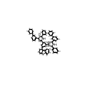 c1ccc(-c2cccc(C3N=C(c4cc(-c5cccc6sc7ccccc7c56)cc(C5NC(c6ccccc6)NC(c6cccc(-c7ccccc7)c6)N5)c4)NC(c4ccccc4)N3)c2)cc1